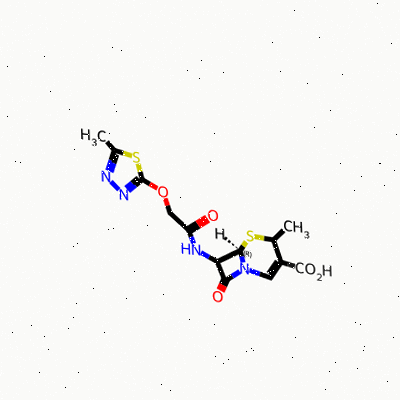 Cc1nnc(OCC(=O)NC2C(=O)N3C=C(C(=O)O)C(C)S[C@H]23)s1